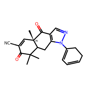 CC1(C)C(=O)C(C#N)=C[C@]2(C)C(=O)c3cnn(C4=CC=CCC4)c3CC12